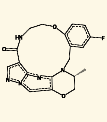 C[C@@H]1COc2cn3ncc4c3nc2N1Cc1cc(F)ccc1OCCNC4=O